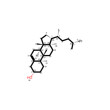 CC(C)[C@H](C)CC[C@@H](C)[C@H]1CC[C@@]2(C)[C@@H]3CC=C4C[C@@H](O)CC[C@]4(C)[C@@]3(C)CC[C@]12C